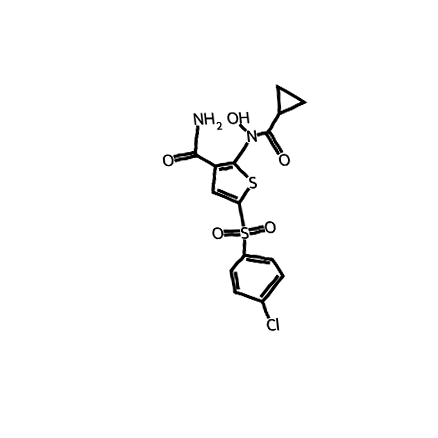 NC(=O)c1cc(S(=O)(=O)c2ccc(Cl)cc2)sc1N(O)C(=O)C1CC1